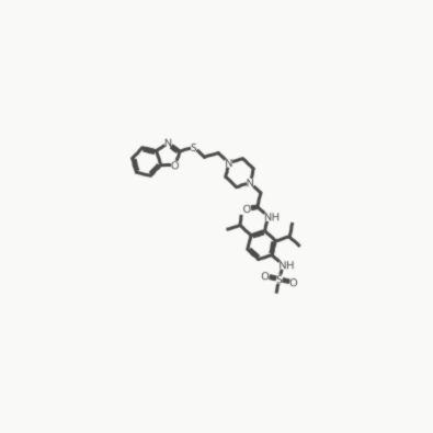 CC(C)c1ccc(NS(C)(=O)=O)c(C(C)C)c1NC(=O)CN1CCN(CCSc2nc3ccccc3o2)CC1